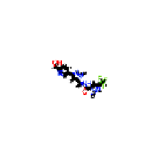 CC(NC(=O)c1cc(C(F)(F)F)nn1C)c1cc(-c2ccc(CO)nc2)nn1C